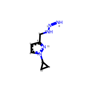 N=NNCc1ccn(C2CC2)n1